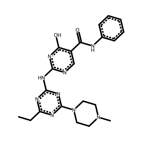 CCc1nc(Nc2ncc(C(=O)Nc3ccccc3)c(O)n2)nc(N2CCN(C)CC2)n1